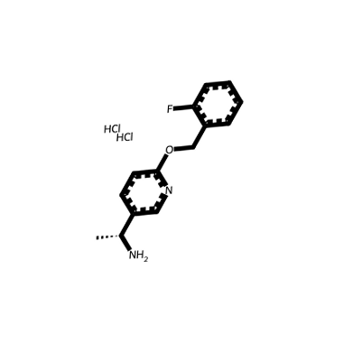 C[C@@H](N)c1ccc(OCc2ccccc2F)nc1.Cl.Cl